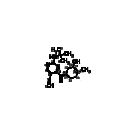 C#Cc1cnc(NC(C)(C)C)nc1N[C@@H]1CC[C@@H](C)[C@H](O)C1